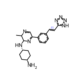 CC1N=CC(c2cccc(/C=C/c3nnn[nH]3)c2)=NC1N[C@H]1CC[C@H](N)CC1